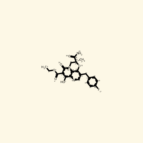 CCOC(=O)c1c(O)c2ncc(Cc3ccc(F)cc3)c3c2n(c1=O)C[C@@](C)(C(N)=O)O3